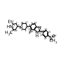 CCC1CC(N2CCC(c3ccc4nc(-c5ccc([S+](C)[O-])cc5)[nH]c4c3F)CC2)CC(C)N1